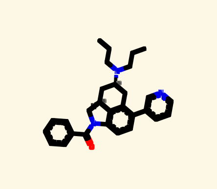 CCCN(CCC)[C@@H]1Cc2c(-c3cccnc3)ccc3c2[C@@H](C1)CN3C(=O)c1ccccc1